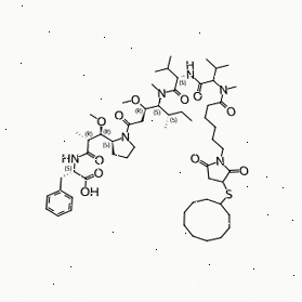 CC[C@H](C)[C@@H]([C@@H](CC(=O)N1CCC[C@H]1[C@H](OC)[C@@H](C)C(=O)N[C@@H](Cc1ccccc1)C(=O)O)OC)N(C)C(=O)[C@@H](NC(=O)C(C(C)C)N(C)C(=O)CCCCCN1C(=O)CC(SC2CCCCCCCCC2)C1=O)C(C)C